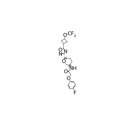 O=C(COc1ccc(F)cc1)N[C@@H]1CC[C@@H](c2noc(C3CC(OC(F)(F)F)C3)n2)OC1